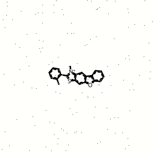 Cc1ccccc1-c1sc2cc3oc4ccccc4c3cc2[n+]1C